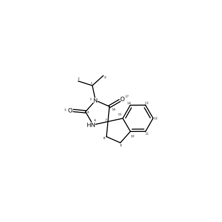 CC(C)N1C(=O)NC2(CCc3ccccc32)C1=O